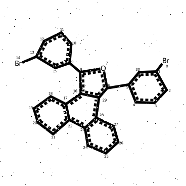 Brc1cccc(-c2oc(-c3cccc(Br)c3)c3c4ccccc4c4ccccc4c23)c1